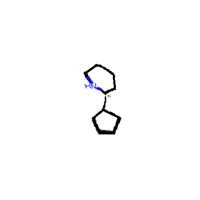 C1CC[C@@H](C2CCCC2)NC1